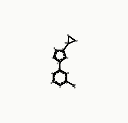 Brc1cncc(-n2cnc(C3CC3)c2)c1